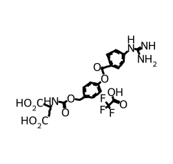 N=C(N)Nc1ccc(C(=O)Oc2ccc(COC(=O)NC(CC(=O)O)C(=O)O)cc2)cc1.O=C(O)C(F)(F)F